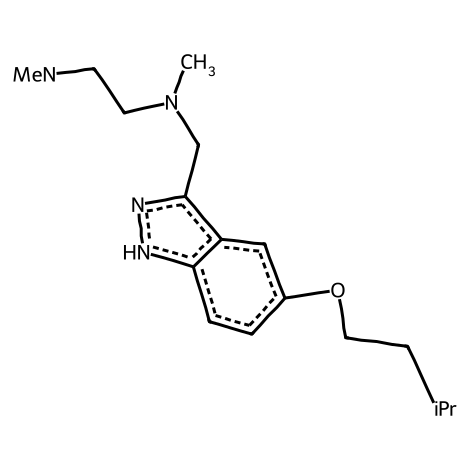 CNCCN(C)Cc1n[nH]c2ccc(OCCC(C)C)cc12